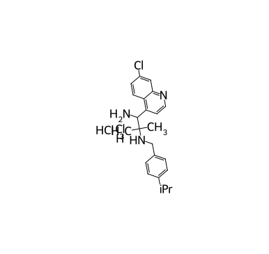 CC(C)c1ccc(CNC(C)(C)C(N)c2ccnc3cc(Cl)ccc23)cc1.Cl.Cl